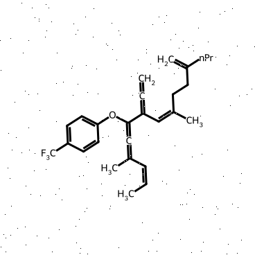 C=C=C(/C=C(/C)CCC(=C)CCC)C(=C=C(C)/C=C\C)Oc1ccc(C(F)(F)F)cc1